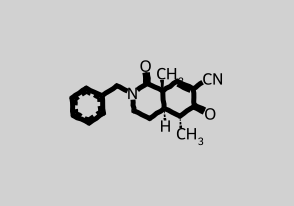 C[C@H]1C(=O)C(C#N)=C[C@@]2(C)C(=O)N(Cc3ccccc3)CC[C@H]12